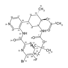 CC(=O)O[C@H]1C(NC(=O)OC(C)(C)C)CC(c2ccncc2NC(=O)c2ccc(F)c(Br)n2)C[C@@H]1C